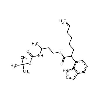 C=CCCCCC(C(=O)OCCC(C)NC(=O)OC(C)(C)C)c1cncc2cn[nH]c12